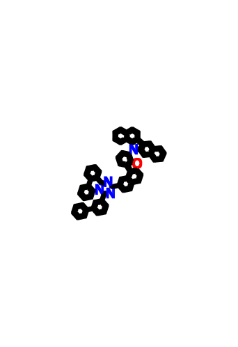 c1ccc(-c2cccc(-c3nc(-c4ccc5ccc6oc7c(-n8c9cc%10ccccc%10cc9c9ccc%10ccccc%10c98)cccc7c6c5c4)nc(-c4ccccc4-c4ccccc4)n3)c2)cc1